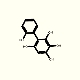 Oc1ccccc1-c1c(O)cc(O)c(O)c1O